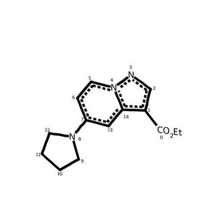 CCOC(=O)c1cnn2ccc(N3CCCC3)cc12